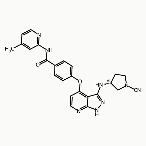 Cc1ccnc(NC(=O)c2ccc(Oc3ccnc4[nH]nc(N[C@@H]5CCN(C#N)C5)c34)cc2)c1